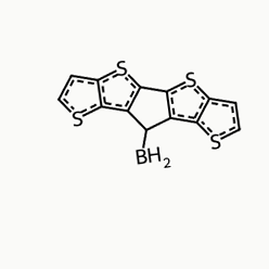 BC1c2c(sc3ccsc23)-c2sc3ccsc3c21